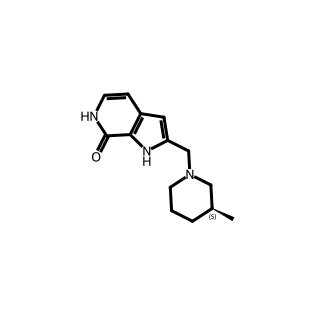 C[C@H]1CCCN(Cc2cc3cc[nH]c(=O)c3[nH]2)C1